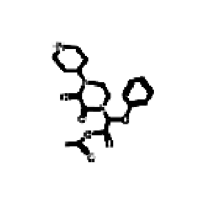 CC(=O)OC(=O)C(Oc1ccccc1)N1CCN(C2CCNCC2)C(=O)C1=O